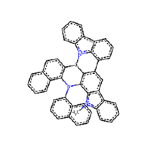 Cn1c2ccccc2c2cc3c4c(c21)N(c1cccc2ccccc12)c1c(ccc2ccccc12)B4n1c2ccccc2c2cccc-3c21